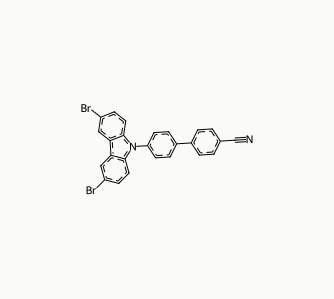 N#Cc1ccc(-c2ccc(-n3c4ccc(Br)cc4c4cc(Br)ccc43)cc2)cc1